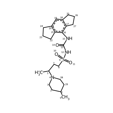 CC1CCN(C(C)CCS(=O)(=O)NC(=O)Nc2c3c(cc4c2CCC4)CCC3)CC1